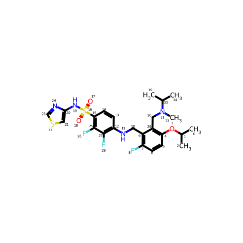 CC(C)Oc1ccc(F)c(CNc2ccc(S(=O)(=O)Nc3cscn3)c(F)c2F)c1CN(C)C(C)C